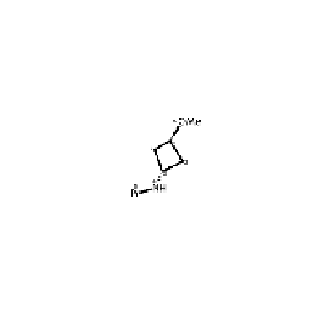 CO[C@H]1C[C@H](NC(C)C)C1